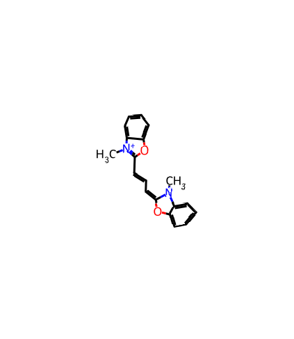 CN1C(=CC=Cc2oc3ccccc3[n+]2C)Oc2ccccc21